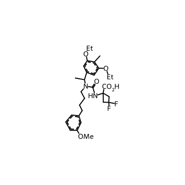 CCOc1cc(C(C)N(CCCCc2cccc(OC)c2)C(=O)NC2(C(=O)O)CC(F)(F)C2)cc(OCC)c1C